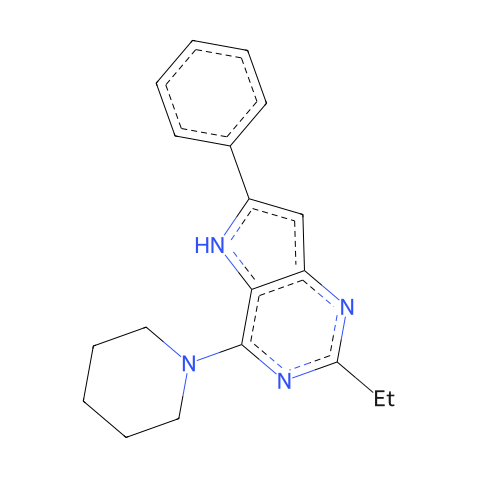 CCc1nc(N2CCCCC2)c2[nH]c(-c3ccccc3)cc2n1